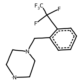 FC(F)(F)C(F)(F)c1ccccc1CN1CC[N]CC1